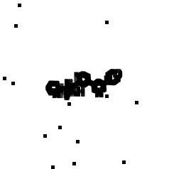 Cc1[nH]c(-c2cc(-c3cncc(N4CCOCC4)c3)ccn2)nc1N1C=CC=CN1